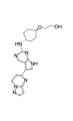 OCCO[C@H]1CC[C@H](Nc2ncc3c(-c4ccn5nccc5n4)c[nH]c3n2)CC1